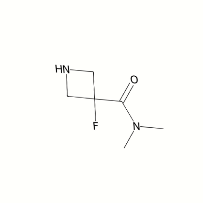 CN(C)C(=O)C1(F)CNC1